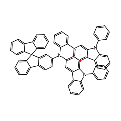 c1ccc(-n2c3ccccc3c3cc(N(c4ccc5c(c4)C4(c6ccccc6-c6ccccc64)c4ccccc4-5)c4ccccc4-c4ccc5c6ccccc6n(-c6ccccc6)c5c4)ccc32)cc1